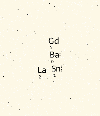 [Ba].[Gd].[La].[Sn]